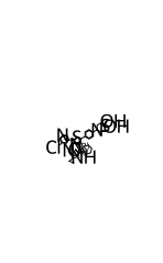 N#CC1(NC(=O)[C@@H]2CCCC[C@H]2c2nc(-c3cncc(Cl)c3)sc2-c2ccc(N3CCS(O)(O)CC3)cc2)CC1